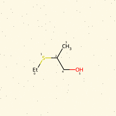 CCSC(C)CO